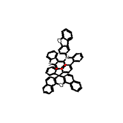 c1ccc(N(c2ccc3oc4ccccc4c3c2)c2cccc3sc4ccccc4c23)c(-c2ccc3c(c2)-c2ccccc2C32c3ccc4ccccc4c3Oc3c2ccc2ccccc32)c1